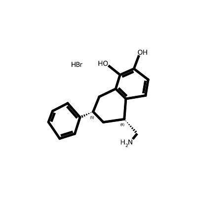 Br.NC[C@@H]1C[C@H](c2ccccc2)Cc2c1ccc(O)c2O